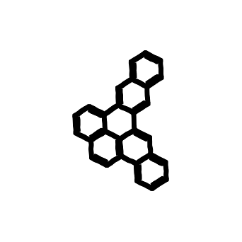 c1ccc2cc3c(cc2c1)c1cccc2ccc4c5ccccc5cc3c4c21